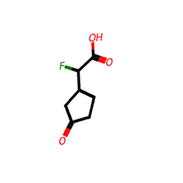 O=C1CCC(C(F)C(=O)O)C1